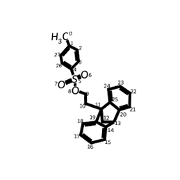 Cc1ccc(S(=O)(=O)OCCC23CC(c4ccccc42)c2ccccc23)cc1